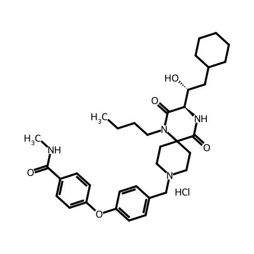 CCCCN1C(=O)[C@@H]([C@H](O)CC2CCCCC2)NC(=O)C12CCN(Cc1ccc(Oc3ccc(C(=O)NC)cc3)cc1)CC2.Cl